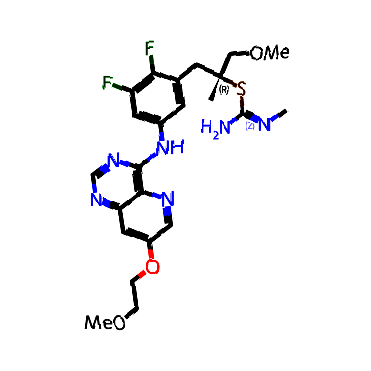 C/N=C(/N)S[C@@](C)(COC)Cc1cc(Nc2ncnc3cc(OCCOC)cnc23)cc(F)c1F